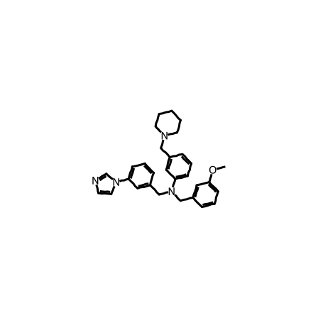 COc1cccc(CN(Cc2cccc(-n3ccnc3)c2)c2cccc(CN3CCCCC3)c2)c1